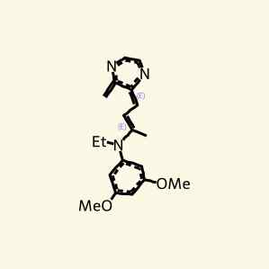 C=c1nccn/c1=C/C=C(\C)N(CC)c1cc(OC)cc(OC)c1